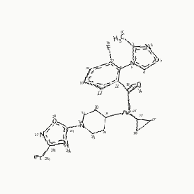 Cc1nccn1-c1c(F)cccc1C(=O)N(C1CC1)C1CCN(c2nc(C(C)C)no2)CC1